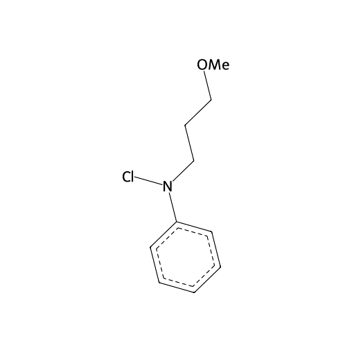 COCCCN(Cl)c1ccccc1